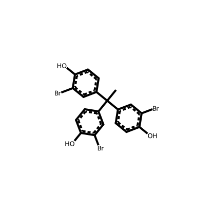 CC(c1ccc(O)c(Br)c1)(c1ccc(O)c(Br)c1)c1ccc(O)c(Br)c1